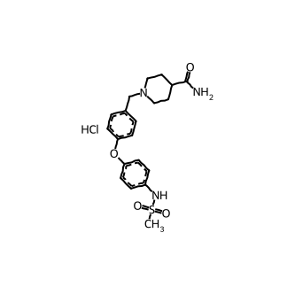 CS(=O)(=O)Nc1ccc(Oc2ccc(CN3CCC(C(N)=O)CC3)cc2)cc1.Cl